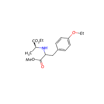 CCOC(=O)[C@H](C)NC(Cc1ccc(OCC)cc1)C(=O)OC